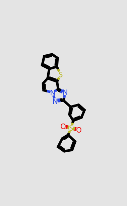 O=S(=O)(c1ccccc1)c1cccc(-c2nc3c4sc5ccccc5c4ccn3n2)c1